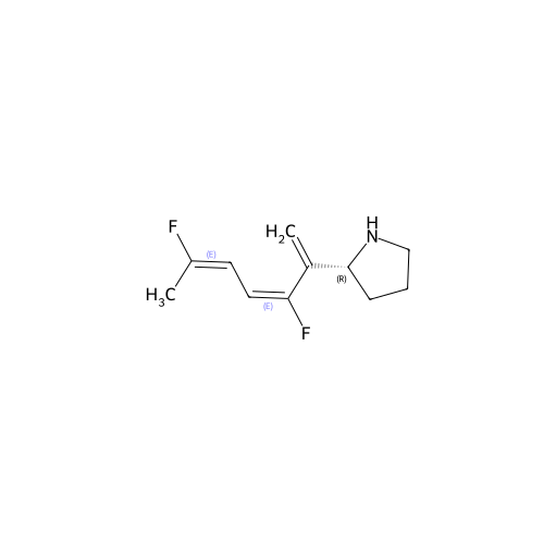 C=C(/C(F)=C\C=C(/C)F)[C@H]1CCCN1